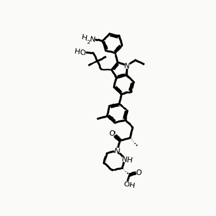 CCn1c(-c2cccc(N)c2)c(CC(C)(C)CO)c2cc(-c3cc(C)cc(C[C@H](C)C(=O)N4CCC[C@@H](C(=O)O)N4)c3)ccc21